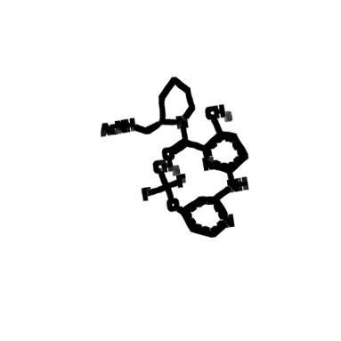 CC(=O)NC[C@H]1CCCCN1C(=O)c1nc(Nc2cc(OC(C)(F)F)ccn2)ccc1C